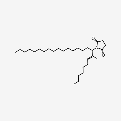 CCCCCC/C=C(\C)C(CCCCCCCCCCCCCCCC)N1C(=O)CCC1=O